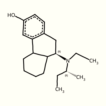 CC[C@@H](C)N(CC)[C@@H]1Cc2ccc(O)cc2C2CCCCC21